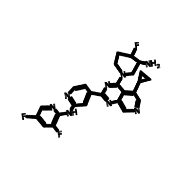 NC1CN(c2nc(-c3ccnc(Nc4ncc(F)cc4F)c3)nc3cncc(C4CC4)c23)CCC1F